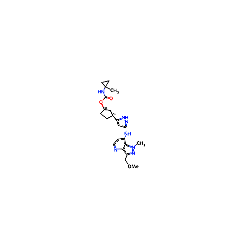 COCc1nn(C)c2c(Nc3cc([C@H]4CC[C@@H](OC(=O)NC5(C)CC5)C4)[nH]n3)ccnc12